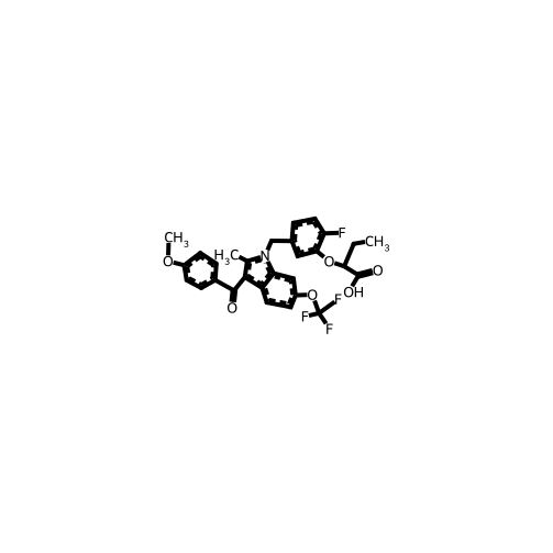 CCC(Oc1cc(Cn2c(C)c(C(=O)c3ccc(OC)cc3)c3ccc(OC(F)(F)F)cc32)ccc1F)C(=O)O